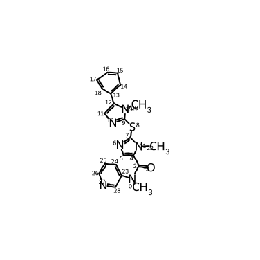 CN(C(=O)c1cnc(Sc2ncc(-c3ccccc3)n2C)n1C)c1cccnc1